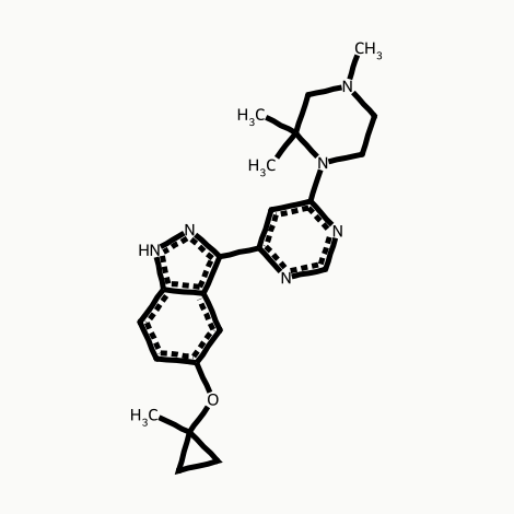 CN1CCN(c2cc(-c3n[nH]c4ccc(OC5(C)CC5)cc34)ncn2)C(C)(C)C1